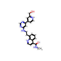 CNC(=O)c1ccnc2c(CCNc3cc(-c4ccnc(CO)c4)ncn3)cccc12